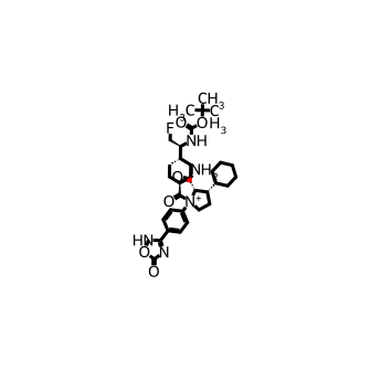 CC(C)(C)OC(=O)N[C@H](CF)[C@H]1CC[C@H](C(=O)[N+]2(c3ccc(-c4nc(=O)o[nH]4)cc3)CC[C@@H](C3CCCCC3)[C@H]2C(N)=O)CC1